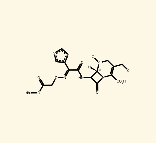 CC(C)(C)OC(=O)CON=C(C(=O)NC1C(=O)N2C(C(=O)O)=C(CCl)C[S+]([O-])[C@@H]12)c1cscn1